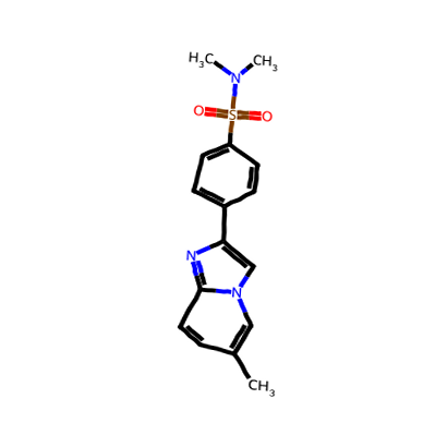 Cc1ccc2nc(-c3ccc(S(=O)(=O)N(C)C)cc3)cn2c1